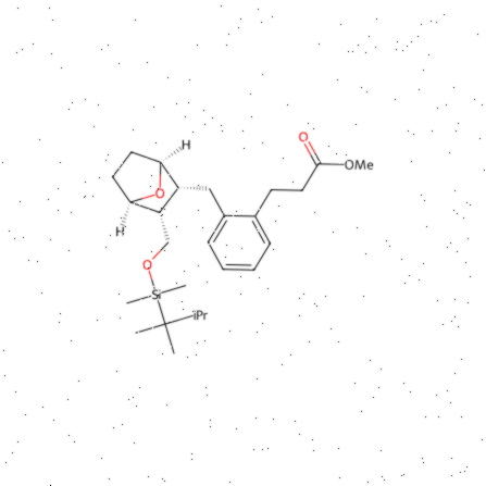 COC(=O)CCc1ccccc1C[C@@H]1[C@H](CO[Si](C)(C)C(C)(C)C(C)C)[C@H]2CC[C@@H]1O2